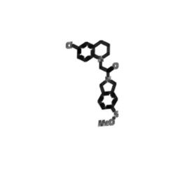 COSc1ccc2c(c1)CN(C(=O)CN1CCCc3cc(Cl)ccc31)C2